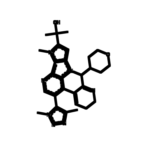 Cc1nnn(C)c1-c1cnc2c3c(cc(C(C)(C)O)n3C)n3c2c1C1=CCCN=C1C3C1CCOCC1